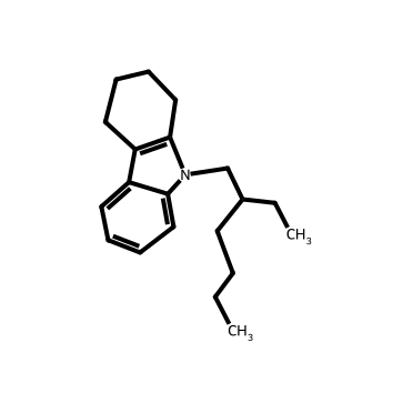 CCCCC(CC)Cn1c2c(c3ccccc31)CCCC2